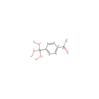 CO[Si](OC)(OC)c1ccc(C(=O)Cl)cc1